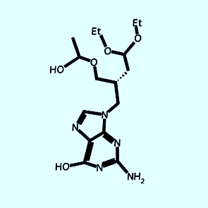 CCOC(C[C@@H](COC(C)O)Cn1cnc2c(O)nc(N)nc21)OCC